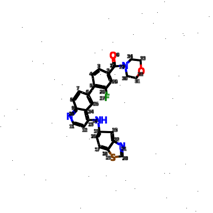 O=C(c1ccc(-c2ccc3nccc(Nc4ccc5scnc5c4)c3c2)c(F)c1)N1CCOCC1